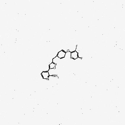 Nc1ncccc1-c1cc(Cc2ccc(Oc3ncc(F)cc3F)cc2)no1